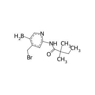 Bc1cnc(NC(=O)C(C)(C)CC)cc1CBr